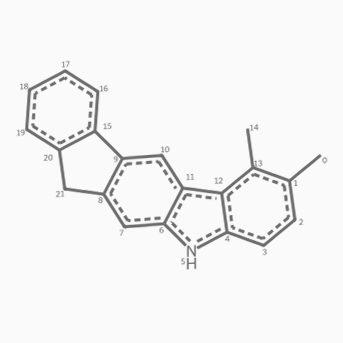 Cc1ccc2[nH]c3cc4c(cc3c2c1C)-c1ccccc1C4